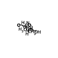 CC1=C(C(=O)OC/C=C/c2ccccc2)C(c2cccc(N)c2)C(C(=O)OCCCO)=C(C)N1